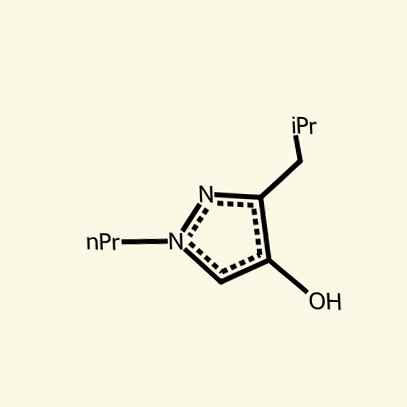 CCCn1cc(O)c(CC(C)C)n1